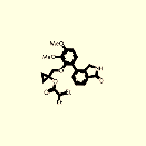 CCC(CC)C(=O)OC1(COc2c(-c3cccc4c3CNC4=O)ccc(OC)c2OC)CC1